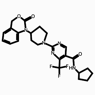 O=C(NC1CCCC1)c1cnc(N2CCC(N3C(=O)OCc4ccccc43)CC2)nc1C(F)(F)F